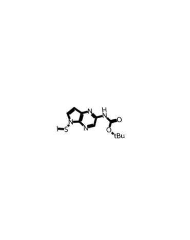 CC(C)(C)OC(=O)Nc1cnc2c(ccn2SI)n1